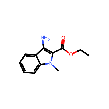 CCOC(=O)c1c(N)c2ccccc2n1C